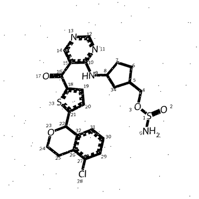 NS(=O)OCC1CCC(Nc2ncncc2C(=O)c2ccc(C3OCCc4c(Cl)cccc43)s2)C1